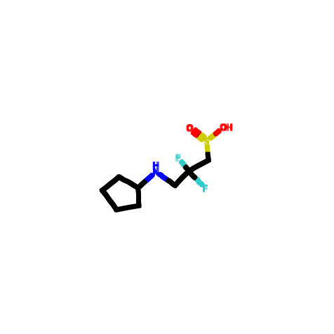 O=S(O)CC(F)(F)CNC1CCCC1